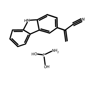 C=C(C#N)c1ccc2[nH]c3ccccc3c2c1.NP(O)O